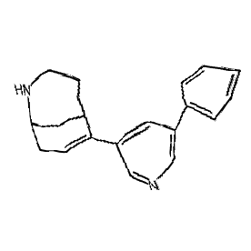 C1=C(c2cncc(-c3ccccc3)c2)C2CCNC(C1)C2